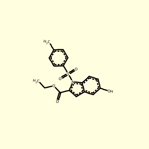 CCOC(=O)c1cc2cc(O)ccc2n1S(=O)(=O)c1ccc(C)cc1